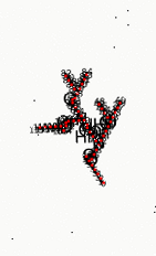 CCCCCCCCCCC(CC)OC(=O)CCCCCN(CCCCCCCC(=O)OC(CCCCCCCC)CCCCCCCC)CCNC(=O)CCC(=O)NCCN(CCCCCCC(C)(C)C(=O)CCCC(CCCCCCCC)CCCCCCCC)CCCCC(C)(C)C(=O)OC(CC)CCCCCCCCCC